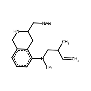 C=CC(C)CN(CCC)c1cccc2c1CC(CNC)NC2